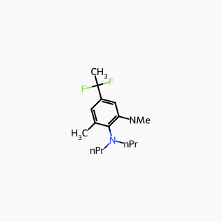 CCCN(CCC)c1c(C)cc(C(C)(F)F)cc1NC